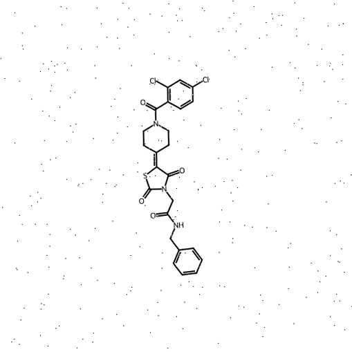 O=C(CN1C(=O)SC(=C2CCN(C(=O)c3ccc(Cl)cc3Cl)CC2)C1=O)NCc1ccccc1